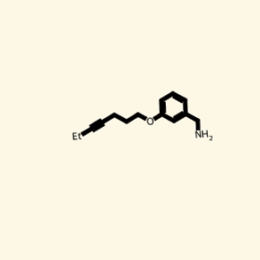 CCC#CCCCOc1cccc(CN)c1